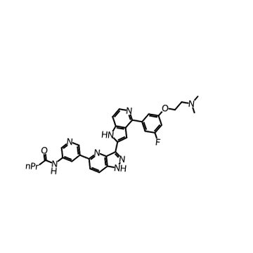 CCCC(=O)Nc1cncc(-c2ccc3[nH]nc(-c4cc5c(-c6cc(F)cc(OCCN(C)C)c6)nccc5[nH]4)c3n2)c1